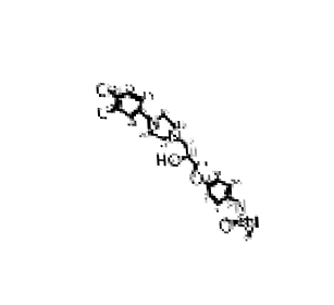 CO[SH](=O)=Nc1ccc(OCC(O)CN2CCN(c3ccc(Cl)c(Cl)c3)CC2)cc1